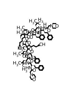 C#CCCCC(OC(=O)OC(CCCC#C)[C@](C)(CI)C(=O)[C@H](CC(C)C)NC(=O)[C@H](Cc1ccccc1)NC(=O)[C@H](CC(C)C)NC(=O)[C@H](CCc1ccccc1)NC(=O)CN1CCOCC1)[C@](C)(CI)C(=O)[C@H](CC(C)C)NC(=O)[C@H](Cc1ccccc1)NC(=O)[C@H](CC(C)C)NC(=O)[C@H](CCc1ccccc1)NC(=O)CN1CCOCC1